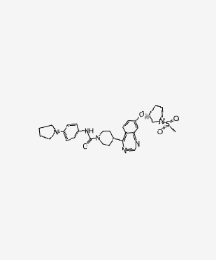 CS(=O)(=O)N1CC[C@@H](Oc2ccc3c(C4CCN(C(=O)Nc5ccc(N6CCCC6)cc5)CC4)ncnc3c2)C1